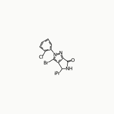 CC(C)C1NC(=O)c2nn(-c3ccccc3Cl)c(Br)c21